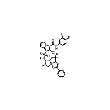 CC1CCC(CC(C)(O)c2cc(-c3ccccc3)on2)C1NS(=O)(=O)c1c(Cl)c(C(=O)Nc2ccc(F)c(F)c2)n2c1C=CC2